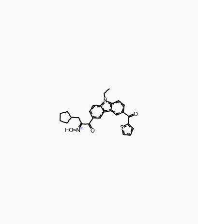 CCn1c2ccc(C(=O)/C(CC3CCCC3)=N/O)cc2c2cc(C(=O)c3cccs3)ccc21